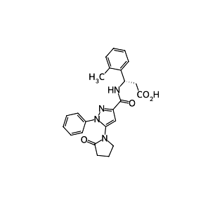 Cc1ccccc1[C@H](CC(=O)O)NC(=O)c1cc(N2CCCC2=O)n(-c2ccccc2)n1